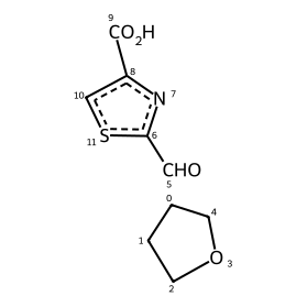 C1CCOC1.O=Cc1nc(C(=O)O)cs1